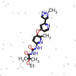 CCOC(C)(C)C(=O)NC(=O)Nc1ccc(Oc2ccnc(-c3cnn(C)c3)c2)c(C)n1